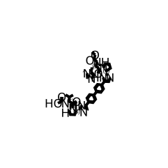 COC(=O)N[C@@H](Cc1cncn1C)C(=O)N1CCC[C@H]1c1ncc(-c2ccc(-c3ccc(-c4cnc([C@@H]5CCCN5C(=O)[C@@H](NC(=O)O)C(C)C)[nH]4)cc3)cc2)[nH]1